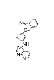 N#Cc1ccccc1COc1cccc(Nc2ncnc3ncccc23)c1